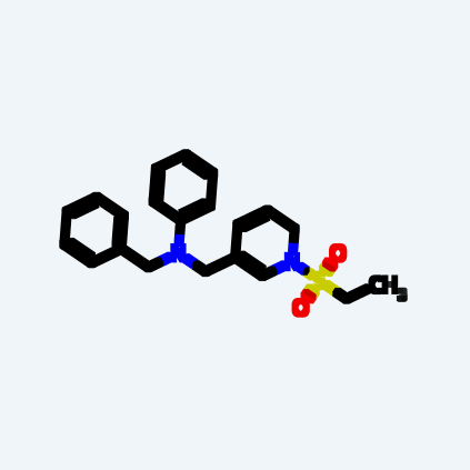 CCS(=O)(=O)N1C=C(CN(Cc2ccccc2)c2ccccc2)C=CC1